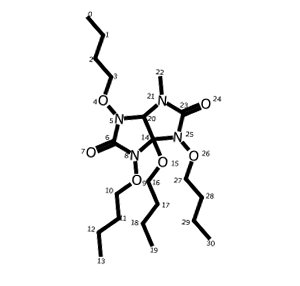 CCCCON1C(=O)N(OCCCC)C2(OCCCC)C1N(C)C(=O)N2OCCCC